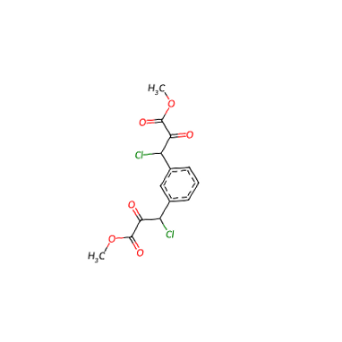 COC(=O)C(=O)C(Cl)c1cccc(C(Cl)C(=O)C(=O)OC)c1